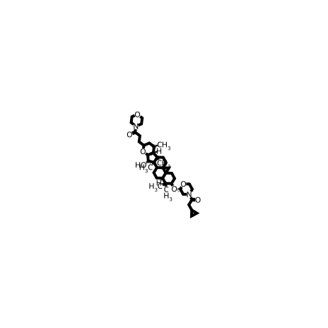 C[C@@H]1CC(CCC(=O)N2CCOCC2)OC2[C@H]1C1(C)CCC34CC35CCC(O[C@H]3CN(C(=O)CC6CC6)CCO3)C(C)(C)[C@@H]5CCC4[C@]1(C)[C@H]2O